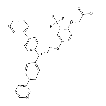 O=C(O)COc1ccc(SCC=C(c2ccc(-c3cccnc3)cc2)c2ccc(-c3cccnc3)cc2)cc1C(F)(F)F